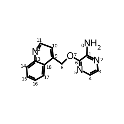 Nc1nccnc1OCc1ccnc2ccccc12